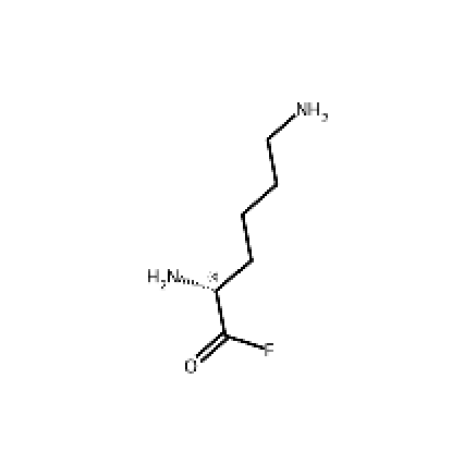 NCCCC[C@@H](N)C(=O)F